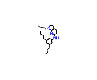 CCCCc1cc(CCCC)cc(Nc2ccc3ccn(CCCC)c3n2)c1